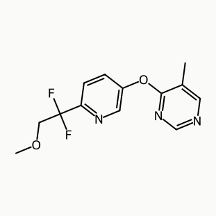 COCC(F)(F)c1ccc(Oc2ncncc2C)cn1